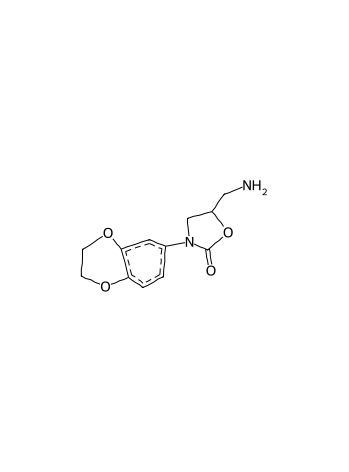 NCC1CN(c2ccc3c(c2)OCCO3)C(=O)O1